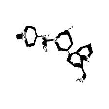 C[C@@H]1C[C@H](c2ccc(C=N)c3ncccc23)CN(C(=O)NC2CCN(C)CC2)C1